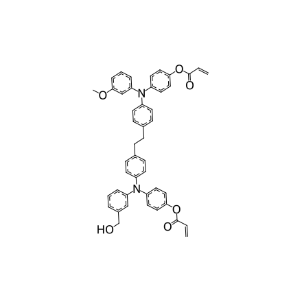 C=CC(=O)Oc1ccc(N(c2ccc(CCc3ccc(N(c4ccc(OC(=O)C=C)cc4)c4cccc(OC)c4)cc3)cc2)c2cccc(CO)c2)cc1